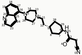 N#CCC(=O)N[C@H]1CC[C@H](CCN2CCN(c3cccc4ncccc34)CC2)CC1